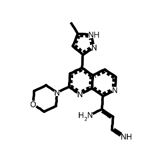 Cc1cc(-c2cc(N3CCOCC3)nc3c(/C(N)=C/C=N)nccc23)n[nH]1